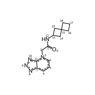 O=C(Cn1cccc2nnnc1-2)NC1CC2(CCC2)C1